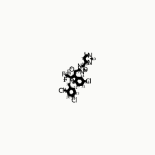 O=C(c1noc(-c2ccncn2)n1)c1c(C(F)(F)F)n(Cc2ccc(Cl)cc2Cl)c2ccc(Cl)cc12